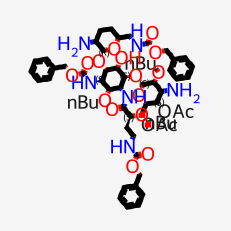 CCCCOC1C(N)[C@H](OC(C)=O)C(COC(C)=O)O[C@@H]1O[C@@H]1C(O)C(O[C@H]2OC(CNC(=O)OCc3ccccc3)CCC2N)[C@@H](NC(=O)OCc2ccccc2)C(OCCCC)C1NC(=O)[C@H](CCNC(=O)OCc1ccccc1)OCCCC